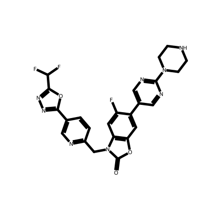 O=c1oc2cc(-c3cnc(N4CCNCC4)nc3)c(F)cc2n1Cc1ccc(-c2nnc(C(F)F)o2)cn1